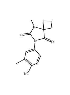 Cc1cc(N2C(=O)N(C)C3(CCC3)C2=O)ccc1C#N